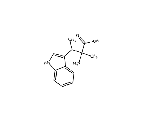 CC(c1c[nH]c2ccccc12)C(C)(N)C(=O)O